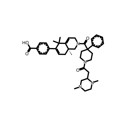 CN1CCN(C)C(CC(=O)N2CCC(C(=O)N3CC=C4C(C)(C)C(c5ccc(C(=O)O)cc5)=CC[C@]4(C)C3)(c3ccccc3)CC2)C1